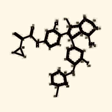 C=C(C(=O)Nc1cnc(-c2c(-c3ccc(Oc4nccc(C)n4)c(F)c3)c3c(N)ncnc3n2C)c(Cl)c1)C1CC1